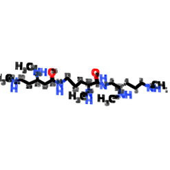 CNCCC[C@@H](CNC(=O)[C@H](CCCNC(=O)CC(CCNC)NC)NC)NC